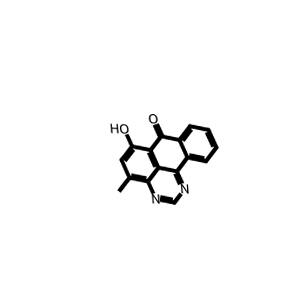 Cc1cc(O)c2c3c(ncnc13)-c1ccccc1C2=O